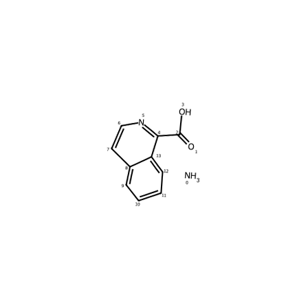 N.O=C(O)c1nccc2ccccc12